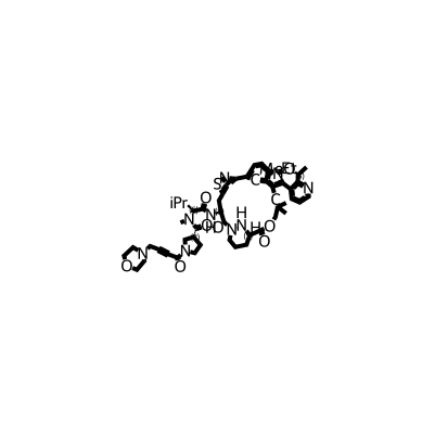 CCn1c(-c2cccnc2[C@H](C)OC)c2c3cc(ccc31)-c1cc(sn1)C[C@H](NC(=O)[C@H](C(C)C)N(C)C(=O)[C@@H]1CCN(C(=O)C#CCN3CCOCC3)C1)C(=O)N1CCC[C@H](N1)C(=O)OCC(C)(C)C2